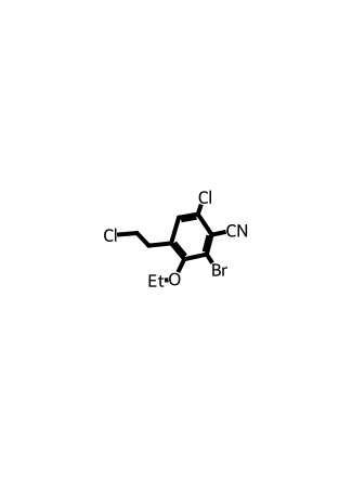 CCOc1c(CCCl)cc(Cl)c(C#N)c1Br